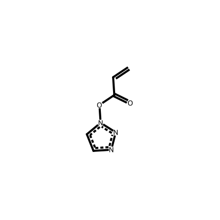 C=CC(=O)On1ccnn1